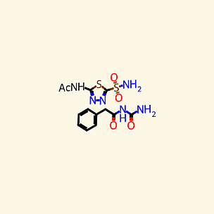 CC(=O)Nc1nnc(S(N)(=O)=O)s1.NC(=O)NC(=O)Cc1ccccc1